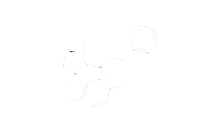 CC1(c2cc(Br)ccc2F)CO[S@@](=O)N1C(=O)OCc1ccccc1